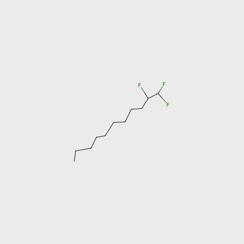 CCCCCCCCCC(F)[C](F)F